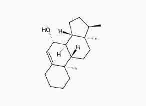 C[C@@H]1CC[C@H]2[C@@H]3[C@@H](O)C=C4CCCC[C@]4(C)[C@H]3CC[C@]12C